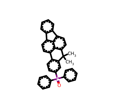 CC1(C)c2cc(P(=O)(c3ccccc3)c3ccccc3)ccc2-c2ccc3c4c(ccc1c24)-c1ccccc1-3